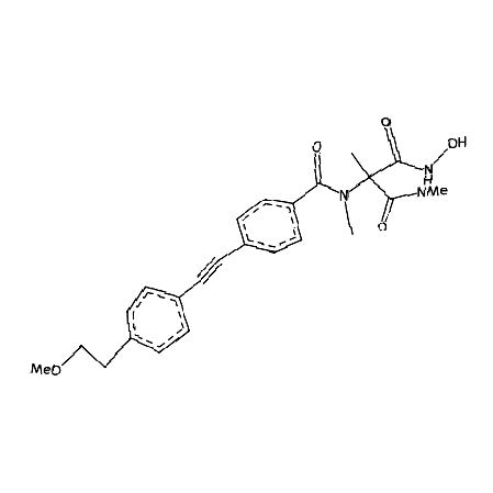 CNC(=O)C(C)(C(=O)NO)N(C)C(=O)c1ccc(C#Cc2ccc(CCOC)cc2)cc1